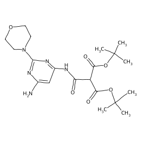 CC(C)(C)OC(=O)C(C(=O)Nc1cc(N)nc(N2CCOCC2)n1)C(=O)OC(C)(C)C